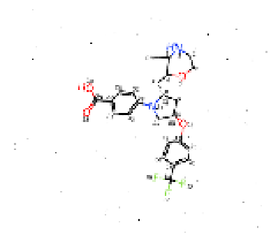 CC1NCCOC1C[C@@H]1C[C@@H](Oc2ccc(C(F)(F)F)cc2)CN1c1ccc(C(=O)O)cc1